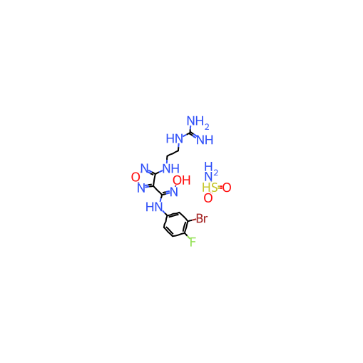 N=C(N)NCCNc1nonc1C(=NO)Nc1ccc(F)c(Br)c1.N[SH](=O)=O